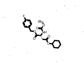 CC(C)(C)OC(=O)N[C@H](CC(=O)OC1CCCCC1)C(=O)OCc1ccc(F)cc1